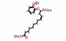 CCCCCC[C@@H](C/C=C\CCCCCCCC(=O)OC)Oc1ccccc1OCC